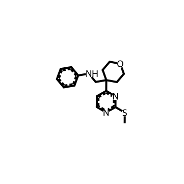 CSc1nccc(C2(CNc3ccccc3)CCOCC2)n1